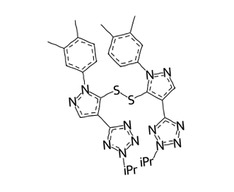 Cc1ccc(-n2ncc(-c3nnn(C(C)C)n3)c2SSc2c(-c3nnn(C(C)C)n3)cnn2-c2ccc(C)c(C)c2)cc1C